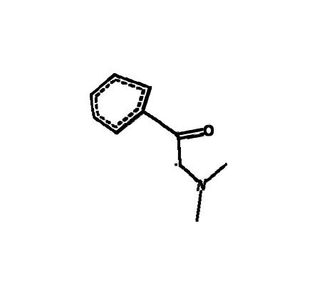 CN(C)[CH]C(=O)c1ccccc1